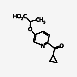 CC(Oc1ccc(C(=O)C2CC2)nc1)C(=O)O